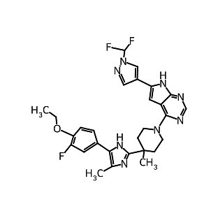 CCOc1ccc(-c2[nH]c(C3(C)CCN(c4ncnc5[nH]c(-c6cnn(C(F)F)c6)cc45)CC3)nc2C)cc1F